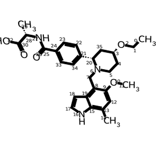 CCO[C@@H]1CCN(Cc2c(OC)cc(C)c3[nH]ccc23)[C@H](c2ccc(C(=O)N[C@@H](C)C(=O)O)cc2)C1